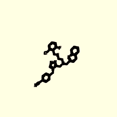 N#Cc1ccc(Cn2cnnc2CN(CCSCc2c(F)cccc2Cl)Cc2ccc3ccccc3n2)cc1